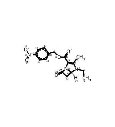 CCN1C(C)=C(C(=O)OCc2ccc([N+](=O)[O-])cc2)N2C(=O)C[C@H]12